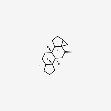 C=C1C[C@H]2[C@@H]3CCC[C@@]3(C)CC[C@@H]2[C@@]2(C)CCC3CC132